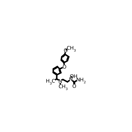 COc1ccc(Oc2cccc(C(C)N(C)CCN(O)C(N)=O)c2)cc1